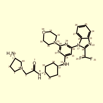 N[C@H]1CCN(CC(=O)N[C@H]2CC[C@H](Nc3cc(-n4c(C(F)F)nc5ccccc54)nc(N4CCOCC4)n3)CC2)C1